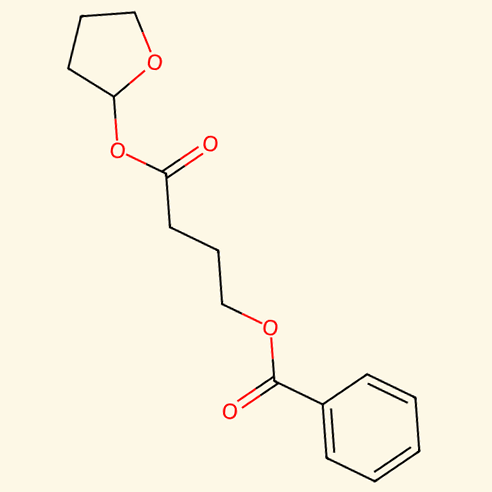 O=C(CCCOC(=O)c1ccccc1)OC1CCCO1